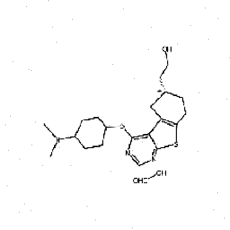 CN(C)C1CCC(Oc2ncnc3sc4c(c23)C[C@H](CCO)CC4)CC1.O=CO